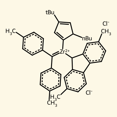 CCCCC1C=C(C(C)(C)C)C=[C]1[Zr+2](=[C](c1ccc(C)cc1)c1ccc(C)cc1)[CH]1c2cc(C)ccc2-c2ccc(C)cc21.[Cl-].[Cl-]